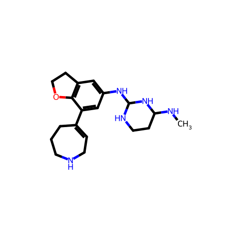 CNC1CCNC(Nc2cc3c(c(C4=CCNCCC4)c2)OCC3)N1